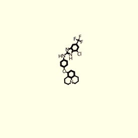 FC(F)(F)c1cc(Cl)c2[nH]c(Nc3ccc(Oc4ccc5c6c4CCCN6CCC5)cc3)nc2c1